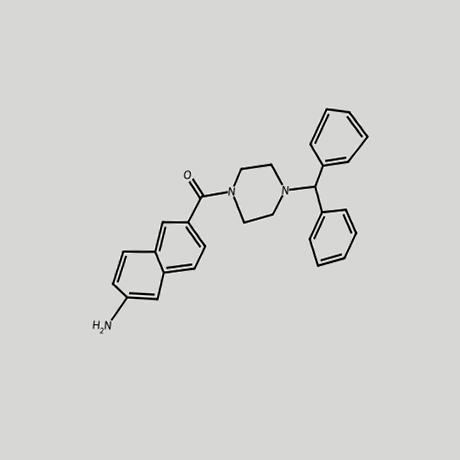 Nc1ccc2cc(C(=O)N3CCN(C(c4ccccc4)c4ccccc4)CC3)ccc2c1